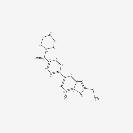 NCc1cc2cc(-c3ccc(C(=O)N4CCOCC4)cn3)cc(Cl)c2o1